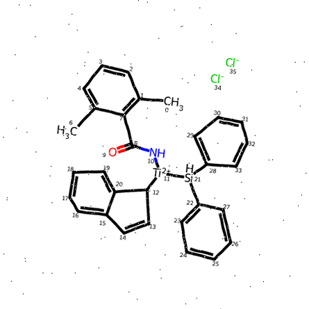 Cc1cccc(C)c1C(=O)[NH][Ti+2]([CH]1C=Cc2ccccc21)[SiH](c1ccccc1)c1ccccc1.[Cl-].[Cl-]